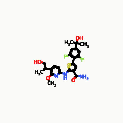 COc1nc(Nc2sc(-c3c(F)cc(C(C)(C)O)cc3F)cc2C(N)=O)ccc1C(C)CO